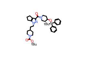 CC(C)(C)OC(=O)N1CCC(CCn2nc(C(=O)N3CCC(O[Si](c4ccccc4)(c4ccccc4)C(C)(C)C)CC3)c3c2CCC3)CC1